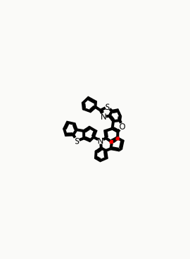 c1ccc(-c2nc3c(ccc4oc5ccc(N(c6ccc7c(c6)sc6ccccc67)c6ccccc6-c6ccccc6)cc5c43)s2)cc1